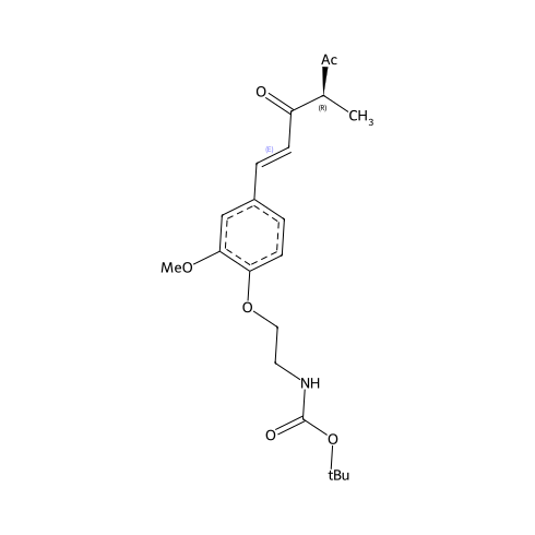 COc1cc(/C=C/C(=O)[C@H](C)C(C)=O)ccc1OCCNC(=O)OC(C)(C)C